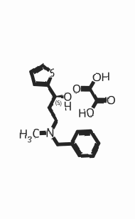 CN(CC[C@H](O)c1cccs1)Cc1ccccc1.O=C(O)C(=O)O